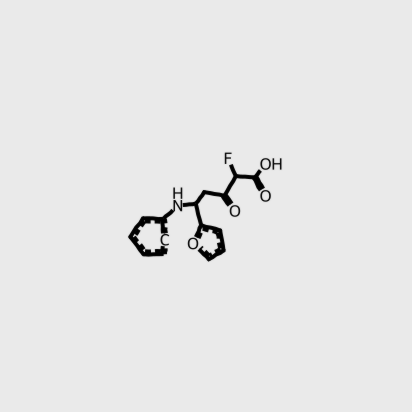 O=C(O)C(F)C(=O)CC(Nc1ccccc1)c1ccco1